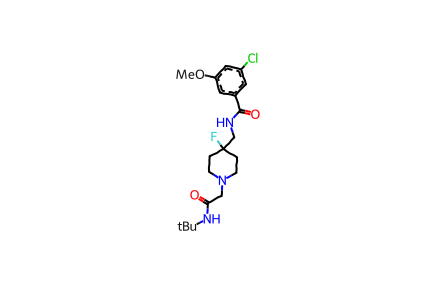 COc1cc(Cl)cc(C(=O)NCC2(F)CCN(CC(=O)NC(C)(C)C)CC2)c1